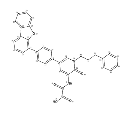 O=C(O)C(=O)Nc1cc(-c2ccc(-c3cccc4c3oc3ccccc34)cc2)cn(CCCc2ccccc2)c1=O